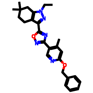 CCn1nc(-c2nc(-c3cnc(OCc4ccccc4)cc3C)no2)c2c1CC(C)(C)CC2